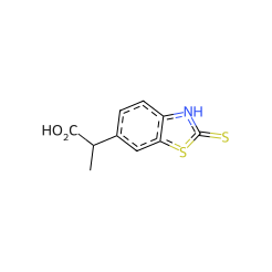 CC(C(=O)O)c1ccc2[nH]c(=S)sc2c1